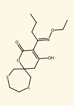 CCC/C(=N\OCC)C1=C(O)CC2(CSCCSC2)OC1=O